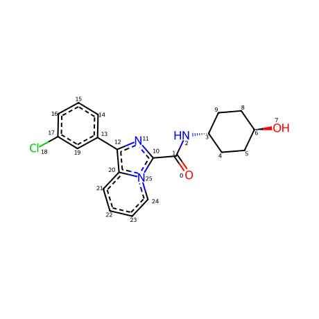 O=C(N[C@H]1CC[C@H](O)CC1)c1nc(-c2cccc(Cl)c2)c2ccccn12